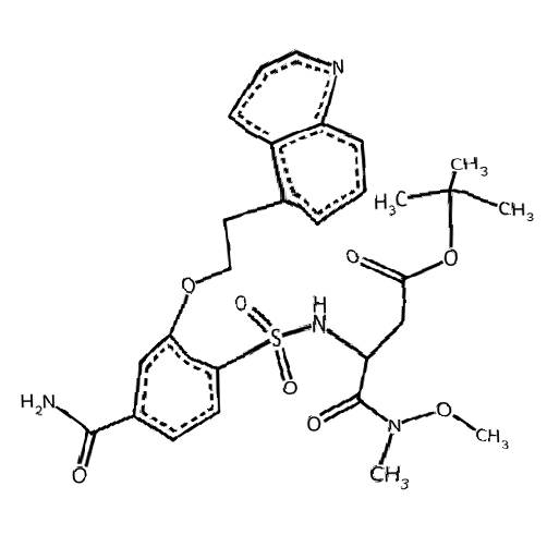 CON(C)C(=O)C(CC(=O)OC(C)(C)C)NS(=O)(=O)c1ccc(C(N)=O)cc1OCCc1cccc2ncccc12